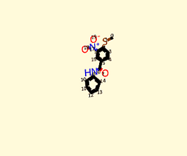 CSc1ccc(C(=O)Nc2ccccc2)cc1[N+](=O)[O-]